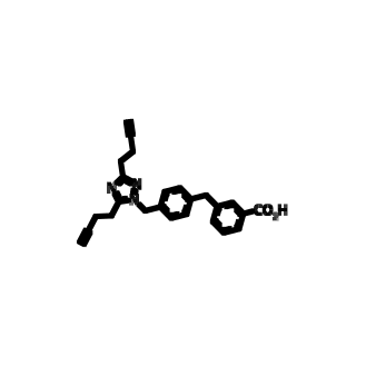 C#CCCc1nc(CCC#C)n(Cc2ccc(Cc3cccc(C(=O)O)c3)cc2)n1